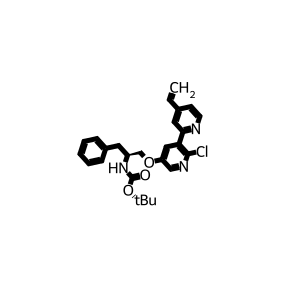 C=Cc1ccnc(-c2cc(OC[C@H](Cc3ccccc3)NC(=O)OC(C)(C)C)cnc2Cl)c1